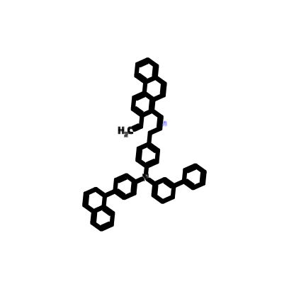 C=Cc1ccc2c(ccc3ccccc32)c1/C=C\Cc1ccc(N(C2=CCCC(c3ccccc3)=C2)c2ccc(C3CC=Cc4ccccc43)cc2)cc1